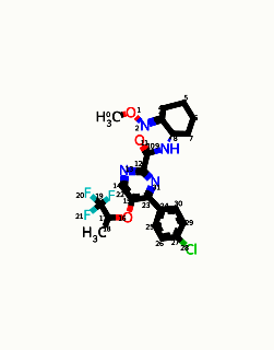 CON=C1CCCC[C@@H]1NC(=O)c1ncc(OC(C)C(F)(F)F)c(-c2ccc(Cl)cc2)n1